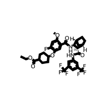 CCOC(=O)C1CCC(Oc2cc(C(=O)N[C@@H]3[C@H]4CC[C@H](C4)[C@@H]3C(=O)Nc3cc(C(F)(F)F)cc(C(F)(F)F)c3)c(OC)cc2F)CC1